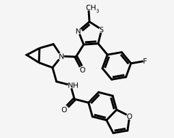 Cc1nc(C(=O)N2CC3CC3C2CNC(=O)c2ccc3occc3c2)c(-c2cccc(F)c2)s1